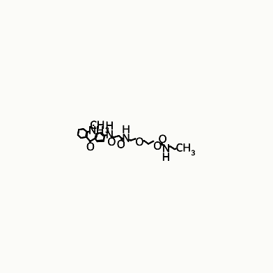 CCCNC(=O)OCCCOCCNC(=O)CC(=O)Nc1ccc(C(=O)C2=C(NC)CCCC2)cc1